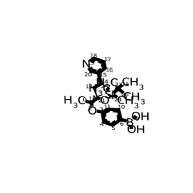 CC(Oc1ccc(B(O)O)cc1)[C@@H](CCc1cccnc1)O[Si](C)(C)C(C)(C)C